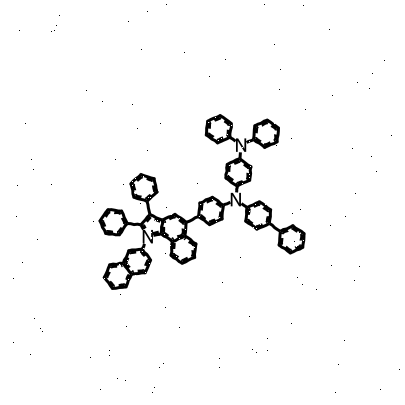 c1ccc(-c2ccc(N(c3ccc(-c4cc5c(-c6ccccc6)c(-c6ccccc6)n(-c6ccc7ccccc7c6)c5c5ccccc45)cc3)c3ccc(N(c4ccccc4)c4ccccc4)cc3)cc2)cc1